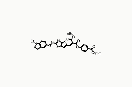 CCCCOC(=O)/C(=C\c1cc2sc(/N=N/c3ccc4c(c3)CCN4CC)nc2s1)C(=O)Oc1ccc(C(=O)OCCC)cc1